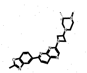 Cc1nc2cc(-c3ccc4ncc(N5CC(N6CCN(C)[C@@H](C)C6)C5)nc4n3)ccc2o1